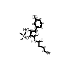 C[Si](C)(C)Oc1c(NC(=O)CCCBr)oc(-c2cccc(Cl)c2)c1O